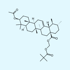 CC(=O)O[C@H]1CC[C@]2(C)[C@H]3CC=C4[C@@H]5[C@@H](C)[C@H](C)CC[C@]5(C(=O)OCOC(=O)C(C)(C)C)CC[C@@]4(C)[C@]3(C)CC[C@H]2C1(C)C